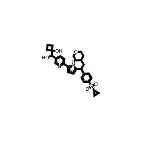 O=S(=O)(c1ccc(C(CC2CCOCC2)c2ccc(-c3ccc(C(O)C4(O)CCC4)cn3)[nH]2)cc1)C1CC1